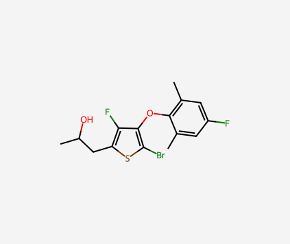 Cc1cc(F)cc(C)c1Oc1c(Br)sc(CC(C)O)c1F